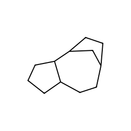 C1CC2CCC3CCC(C3)C2C1